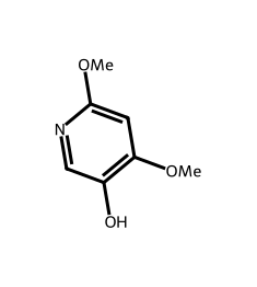 COc1cc(OC)c(O)cn1